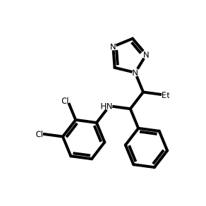 CCC(C(Nc1cccc(Cl)c1Cl)c1ccccc1)n1cncn1